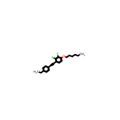 CCCCCCOc1ccc(C#Cc2ccc(CC)cc2)c(F)c1F